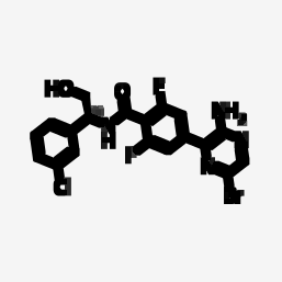 Nc1ncc(Br)nc1-c1cc(F)c(C(=O)N[C@H](CO)c2cccc(Cl)c2)c(F)c1